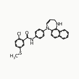 CSc1ccc(Cl)c(C(=O)Nc2ccc(N3C=CCNc4c3ccc3ccccc43)cc2)c1